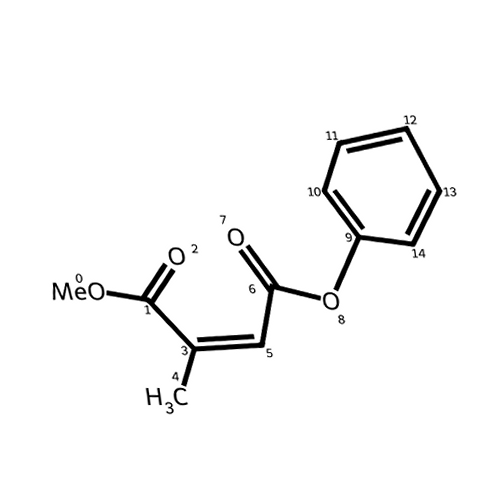 COC(=O)C(C)=CC(=O)Oc1ccccc1